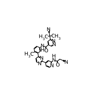 Cc1ccc(NC(=O)c2cnnc(C(C)(C)C#N)c2)cc1-c1ccnc(-c2ccnc(NC(=O)CC#N)c2)n1